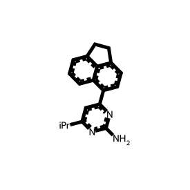 CC(C)c1cc(-c2ccc3c4c(cccc24)CC3)nc(N)n1